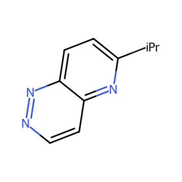 CC(C)c1ccc2nnccc2n1